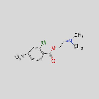 CN(C)CCOC(=O)c1ccc([N+](=O)[O-])cc1Cl